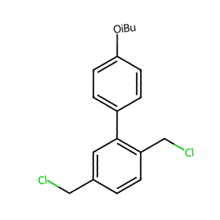 CC(C)COc1ccc(-c2cc(CCl)ccc2CCl)cc1